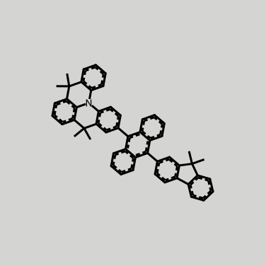 CC1(C)c2ccccc2-c2ccc(-c3c4ccccc4c(-c4ccc5c(c4)C(C)(C)c4cccc6c4N5c4ccccc4C6(C)C)c4ccccc34)cc21